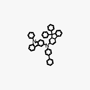 C1=CC2c3ccccc3C(c3ccccc3)(c3ccccc3)C2C=C1N(c1ccc(-c2ccccc2)cc1)c1ccc2c(c1)c1ccccc1n2-c1ccccc1